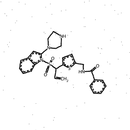 C=CC(c1ccc(CNC(=O)c2ccccc2)s1)S(=O)(=O)n1c(N2CCNCC2)cc2ccccc21